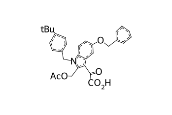 CC(=O)OCc1c(C(=O)C(=O)O)c2cc(OCc3ccccc3)ccc2n1Cc1ccc(C(C)(C)C)cc1